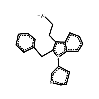 [CH2]CCc1c(Cc2ccccc2)n(-c2cccnc2)c2ccccc12